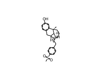 CN1CCC[C@@]2(C)c3cc(O)ccc3C[C@@H]1[C@@H]2NCCc1ccc(S(C)(=O)=O)cc1